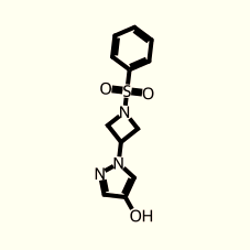 O=S(=O)(c1ccccc1)N1CC(n2cc(O)cn2)C1